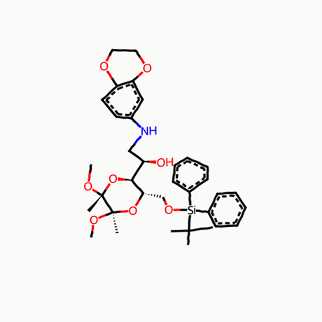 CO[C@]1(C)O[C@@H]([C@H](O)CNc2ccc3c(c2)OCCO3)[C@H](CO[Si](c2ccccc2)(c2ccccc2)C(C)(C)C)O[C@@]1(C)OC